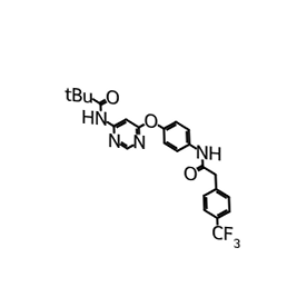 CC(C)(C)C(=O)Nc1cc(Oc2ccc(NC(=O)Cc3ccc(C(F)(F)F)cc3)cc2)ncn1